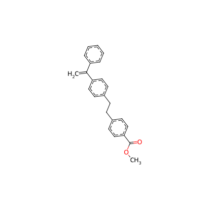 C=C(c1ccccc1)c1ccc(CCc2ccc(C(=O)OC)cc2)cc1